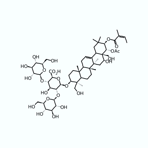 C/C=C(/C)C(=O)O[C@H]1[C@H](OC(C)=O)[C@@]2(CO)C(CC1(C)C)C1=CCC3[C@@]4(C)CC[C@H](O[C@@H]5O[C@H](C(=O)O)[C@@H](O[C@@H]6O[C@H](CO)[C@@H](O)[C@H](O)[C@H]6O)[C@H](O)[C@H]5O[C@@H]5O[C@H](CO)[C@@H](O)[C@H](O)[C@H]5O)[C@](C)(CO)C4CC[C@@]3(C)[C@]1(C)C[C@H]2O